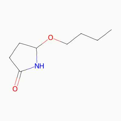 CCCCOC1CCC(=O)N1